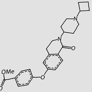 COC(=O)c1ccc(Oc2ccc3c(c2)CCN(C2CCN(C4CCC4)CC2)C3=O)cc1